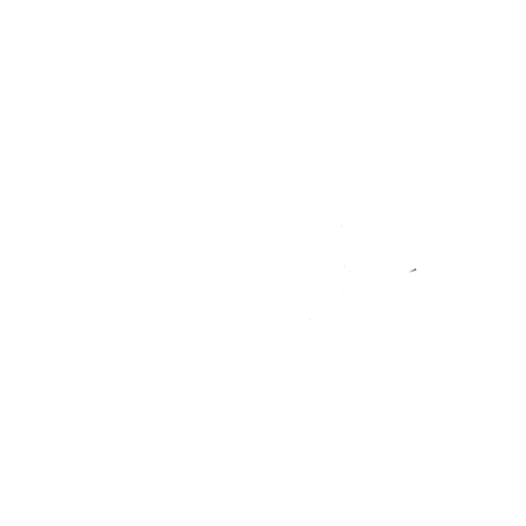 C[C@@H](c1ccc(O)cc1)c1nnc2ccc(Nc3nc4ccc(Cl)cc4s3)nn12